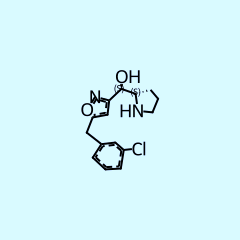 O[C@H](c1cc(Cc2cccc(Cl)c2)on1)[C@@H]1CCCN1